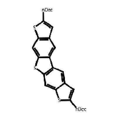 CCCCCCCCCCc1cc2cc3c(cc2s1)sc1cc2sc(CCCCCCCCCC)cc2cc13